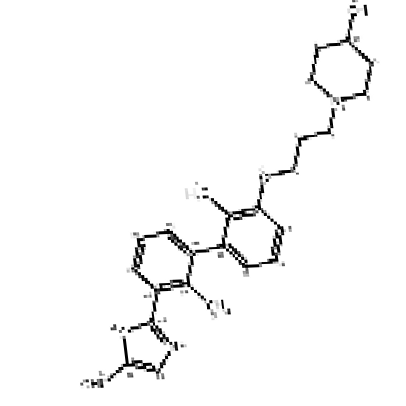 Cc1c(OCCCN2CCC(O)CC2)cccc1-c1cccc(-c2ncc(C=O)s2)c1C